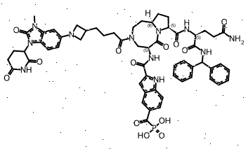 Cn1c(=O)n(C2CCC(=O)NC2=O)c2ccc(N3CC(CCCC(=O)N4CC[C@H]5CC[C@@H](C(=O)N[C@@H](CCC(N)=O)C(=O)NC(c6ccccc6)c6ccccc6)N5C(=O)[C@@H](NC(=O)c5cc6cc(C(=O)P(=O)(O)O)ccc6[nH]5)C4)C3)cc21